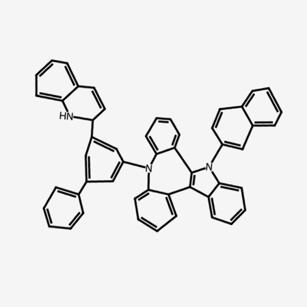 C1=CC(c2cc(-c3ccccc3)cc(N3c4ccccc4-c4c(n(-c5ccc6ccccc6c5)c5ccccc45)-c4ccccc43)c2)Nc2ccccc21